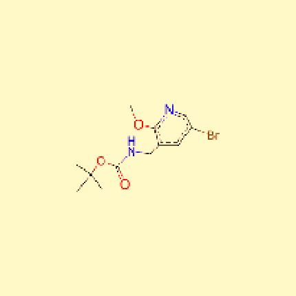 COc1ncc(Br)cc1CNC(=O)OC(C)(C)C